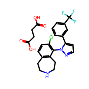 FC(F)(F)c1cccc(-c2ccnn2-c2c(Cl)ccc3c2CCNCC3)c1.O=C(O)CCC(=O)O